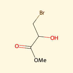 COC(=O)C(O)CBr